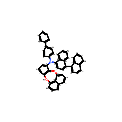 c1ccc(-c2ccc(N(c3cccc4c3Oc3cccc5cccc(c35)O4)c3ccc(-c4cccc5ccccc45)c4ccccc34)cc2)cc1